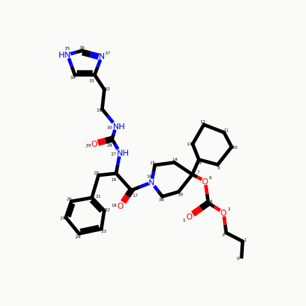 CCCOC(=O)OC1(C2CCCCC2)CCN(C(=O)C(Cc2ccccc2)NC(=O)NCCc2c[nH]cn2)CC1